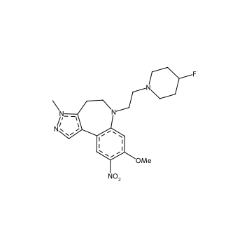 COc1cc2c(cc1[N+](=O)[O-])-c1cnn(C)c1CCN2CCN1CCC(F)CC1